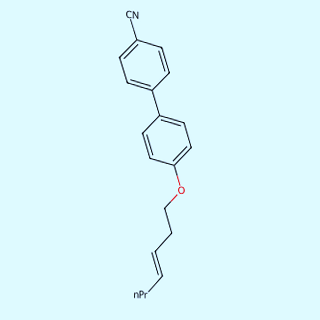 CCCC=CCCOc1ccc(-c2ccc(C#N)cc2)cc1